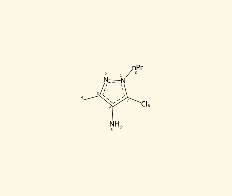 CCCn1nc(C)c(N)c1Cl